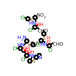 Cc1ccc(Sc2ccc([N+](=O)[O-])cc2CNc2cc(Cl)cc(CC=O)c2O)cc1.Nc1ccc(Sc2ccc(Cl)cc2)c(CNc2cc(Cl)cc(CC(=O)c3cc(Cl)cc(NCc4ccccc4Sc4ccc5cccnc5c4)c3O)c2O)c1.O=CCc1cc(Cl)cc(NCc2cc([N+](=O)[O-])ccc2Sc2ccc(Cl)cc2)c1O